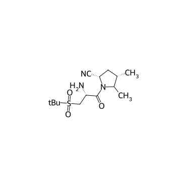 CC1[C@@H](C)C[C@@H](C#N)N1C(=O)[C@@H](N)CS(=O)(=O)C(C)(C)C